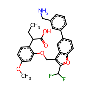 CCC(C(=O)O)c1ccc(OC)cc1OCc1c(C(F)F)oc2ccc(-c3cccc(CN)c3)cc12